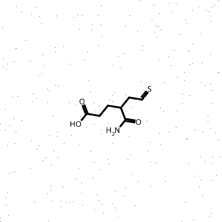 NC(=O)C(CC=S)CCC(=O)O